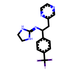 IC(I)(I)c1ccc(C(Cc2cnccn2)N=C2NCCN2)cc1